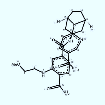 COCCNc1cc(C(=O)N[C@H]2C[C@H]3CC[C@@H](C2)N3c2ccc(C(N)=O)cn2)ccc1C(N)=O